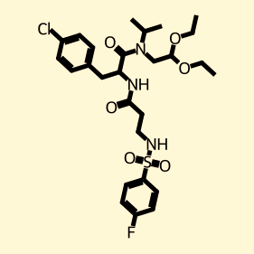 CCOC(CN(C(=O)C(Cc1ccc(Cl)cc1)NC(=O)CCNS(=O)(=O)c1ccc(F)cc1)C(C)C)OCC